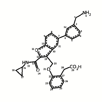 NCc1cccc(-c2ccc3oc(C(=O)NC4CC4)c(COc4ccccc4CC(=O)O)c3c2)c1